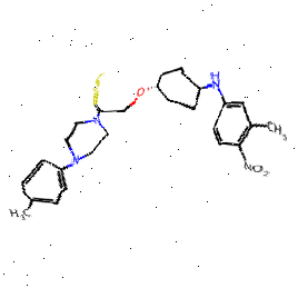 Cc1ccc(N2CCN(C(=S)CO[C@H]3CC[C@H](Nc4ccc([N+](=O)[O-])c(C)c4)CC3)CC2)cc1